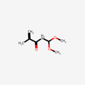 C=C(C)C(=O)[SiH2]C(OC)OC